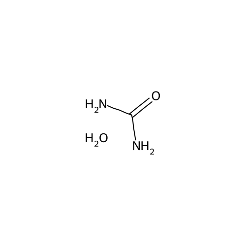 NC(N)=O.O